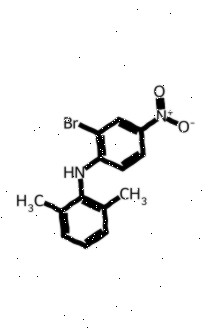 Cc1cccc(C)c1Nc1ccc([N+](=O)[O-])cc1Br